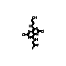 OCCNc1nc(Cl)nc2c(NCC(F)F)nc(Cl)nc12